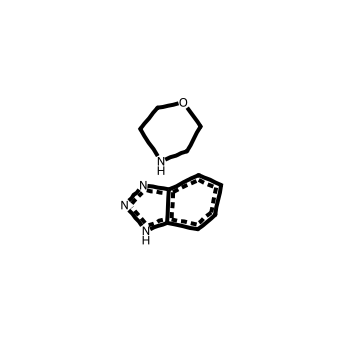 C1COCCN1.c1ccc2[nH]nnc2c1